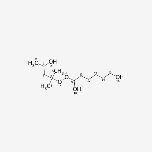 CC(O)CC(C)(C)OOC(O)CCCCCO